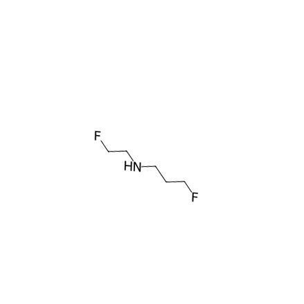 FCCCNCCF